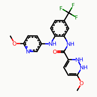 COC1=CC=C(C(=O)Nc2cc(C(F)(F)F)ccc2Nc2ccc(OC)nc2)NN1